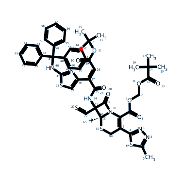 Cc1nnc(C2=C(C(=O)OCOC(=O)C(C)(C)C)N3C(=O)C(C=S)(NC(=O)C(=CC(=O)OC(C)(C)C)c4csc(NC(c5ccccc5)(c5ccccc5)c5ccccc5)n4)[C@@H]3SC2)s1